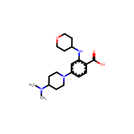 CN(C)C1CCN(c2ccc(C(=O)O)c(NC3CCOCC3)c2)CC1